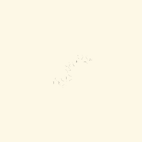 CC(=O)N(C)c1cc(-c2cccc(-c3csc(NC(=O)CNC(=O)c4ccc(N)cc4)n3)c2)ccn1